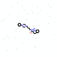 O=C(NCCCCN1CCN(c2ccccc2)CC1)C1CCc2ccccc2N1